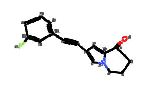 O=C1CCCn2cc(C#Cc3cccc(F)c3)cc21